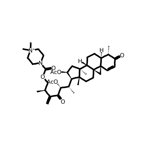 C=C(C(=O)[C@H](OC(C)=O)[C@@H](C)[C@H]1[C@@H](OC(C)=O)C[C@@]2(C)[C@@H]3CC[C@H]4[C@H](C)C(=O)C=C[C@@]45C[C@@]35CC[C@]12C)[C@@H](C)COC(=O)N1CC[N+](C)(C)CC1